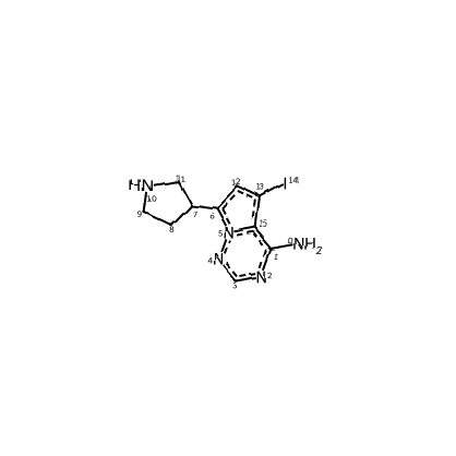 Nc1ncnn2c(C3CCNC3)cc(I)c12